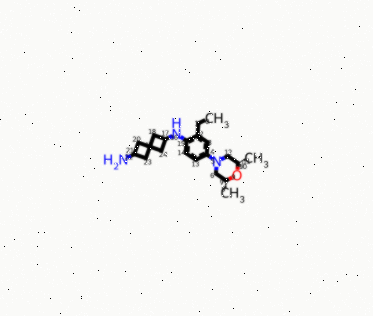 CCc1cc(N2C[C@@H](C)O[C@@H](C)C2)ccc1NC1CC2(CC(N)C2)C1